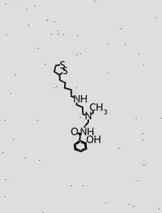 CCN(CCCNCCCCCC1CCSS1)CCNC(=O)c1ccccc1O